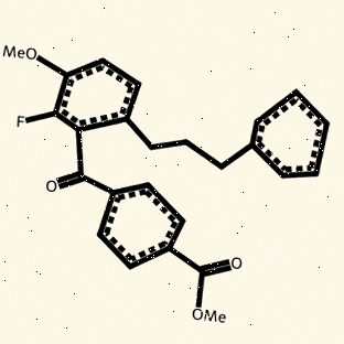 COC(=O)c1ccc(C(=O)c2c(CCCc3ccccc3)ccc(OC)c2F)cc1